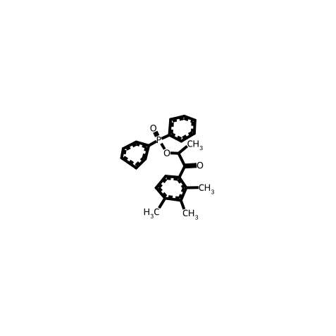 Cc1ccc(C(=O)C(C)OP(=O)(c2ccccc2)c2ccccc2)c(C)c1C